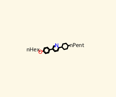 CCCCCCOc1ccc(-c2ccc(C3CCC(CCCCC)CC3)nc2)cc1